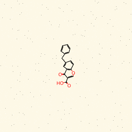 O=C(O)c1coc2ccc(Cc3ccccc3)cc2c1=O